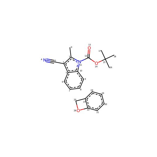 Cc1c(C#N)c2ccccc2n1C(=O)OC(C)(C)C.c1ccc2c(c1)CO2